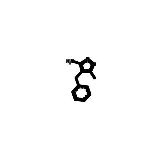 Cc1noc(N)c1Cc1ccccc1